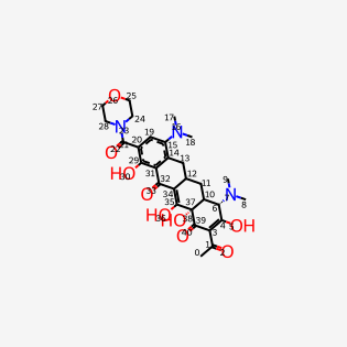 CC(=O)C1=C(O)[C@@H](N(C)C)C2CC3Cc4c(N(C)C)cc(C(=O)N5CCOCC5)c(O)c4C(=O)C3=C(O)[C@]2(O)C1=O